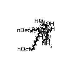 CCCCCCCC/C=C\CCCCCCCC(=O)N(CCCCCCCCCCCCCC)[C@@H]1O[C@H](CO)[C@@H](O)[C@H](O)[C@H]1NC(=O)[C@H](C)NC(=O)CN